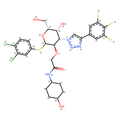 O=C(CO[C@@H]1[C@@H](n2cc(-c3cc(F)c(F)c(F)c3)nn2)[C@@H](O)[C@@H](CO)O[C@@H]1Sc1ccc(Cl)c(Cl)c1)NC1CCC(O)CC1